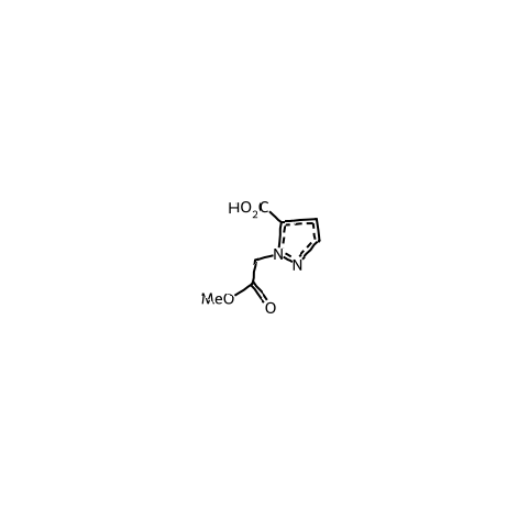 COC(=O)Cn1nccc1C(=O)O